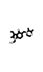 CCc1c2c(n(CO)c1C)CCC(CN1CCOC(C)C1C)C2=O